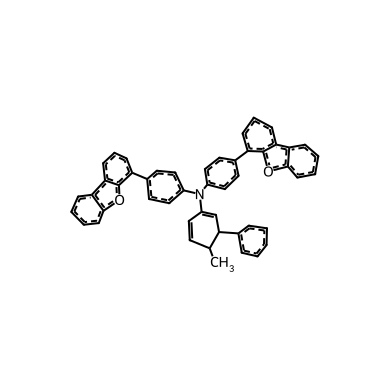 CC1C=CC(N(c2ccc(-c3cccc4c3oc3ccccc34)cc2)c2ccc(-c3cccc4c3oc3ccccc34)cc2)=CC1c1ccccc1